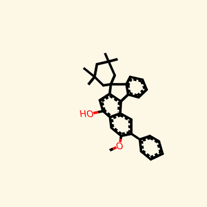 COc1cc2c(O)cc3c(c2cc1-c1ccccc1)-c1ccccc1C31CC(C)(C)CC(C)(C)C1